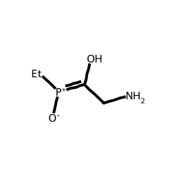 CC/[P+]([O-])=C(\O)CN